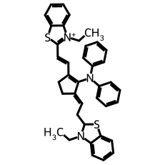 CCN1c2ccccc2SC1CC=C1CCC(C=Cc2sc3ccccc3[n+]2CC)=C1N(c1ccccc1)c1ccccc1